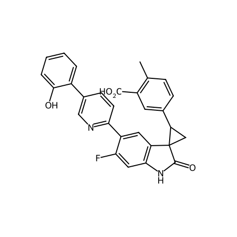 Cc1ccc(C2CC23C(=O)Nc2cc(F)c(-c4ccc(-c5ccccc5O)cn4)cc23)cc1C(=O)O